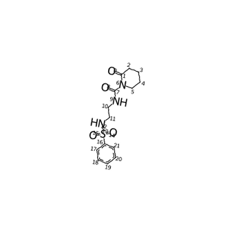 O=C1CCCCN1C(=O)NCCNS(=O)(=O)c1ccccc1